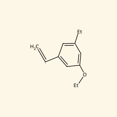 C=[C]c1cc(CC)cc(OCC)c1